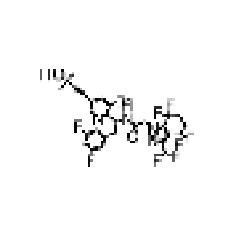 CC(C)(O)C#Cc1cnc(C(Cc2cc(F)cc(F)c2)NC(=O)Cn2nc(C(F)F)c3c2C(F)(F)CCC3(F)F)c(Br)c1